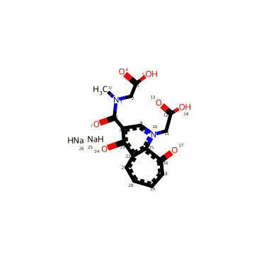 CN(CC(=O)O)C(=O)c1cn(CC(=O)O)c2c(=O)ccccc2c1=O.[NaH].[NaH]